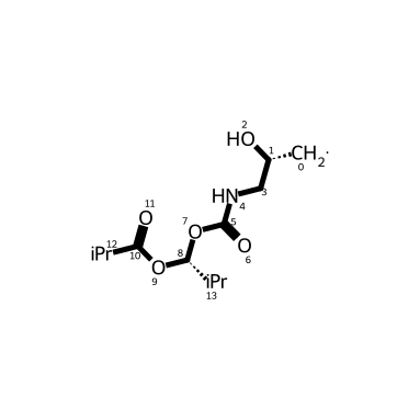 [CH2][C@@H](O)CNC(=O)O[C@@H](OC(=O)C(C)C)C(C)C